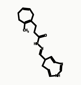 CC1=C(CCC(=O)N/N=C/C2/C=C/N=C\N/C=C/C2)CC=CCC1